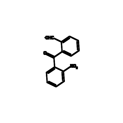 O=[C]c1ccccc1C(=O)c1ccccc1[N+](=O)[O-]